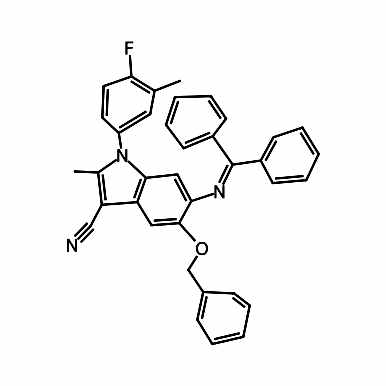 Cc1cc(-n2c(C)c(C#N)c3cc(OCc4ccccc4)c(N=C(c4ccccc4)c4ccccc4)cc32)ccc1F